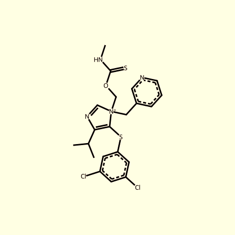 CNC(=S)OC[N+]1(Cc2cccnc2)C=NC(C(C)C)=C1Sc1cc(Cl)cc(Cl)c1